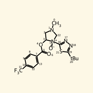 CN1CC(OC(=O)c2ccc(C(F)(F)F)cc2)[N+]([O-])(c2nnc(C(C)(C)C)s2)C1